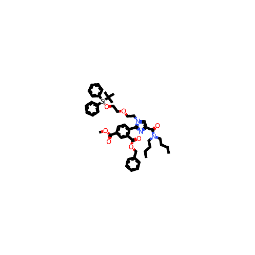 CCCCN(CCCC)C(=O)c1cn(CCOCCO[Si](c2ccccc2)(c2ccccc2)C(C)(C)C)c(-c2ccc(C(=O)OC)cc2C(=O)OCc2ccccc2)n1